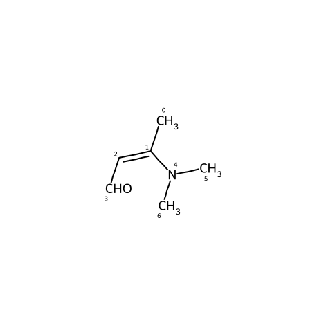 CC(=CC=O)N(C)C